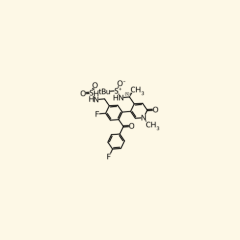 C[C@H](N[S+]([O-])C(C)(C)C)c1cc(=O)n(C)cc1-c1cc(CN[SH](=O)=O)c(F)cc1C(=O)c1ccc(F)cc1